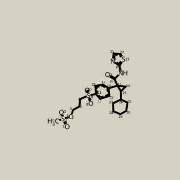 CS(=O)(=O)OCCCS(=O)(=O)c1ccc(C2(C(=O)Nc3nccs3)CC2C2CCCCC2)cc1